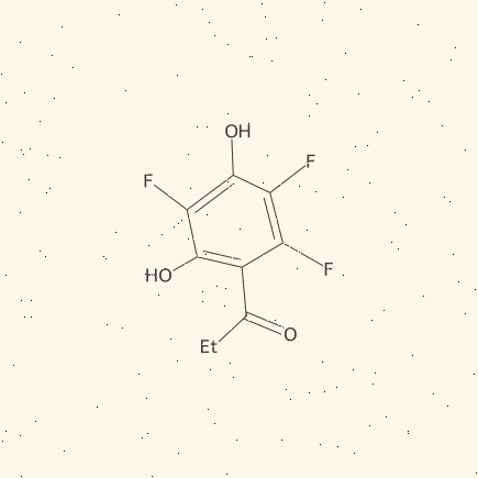 CCC(=O)c1c(O)c(F)c(O)c(F)c1F